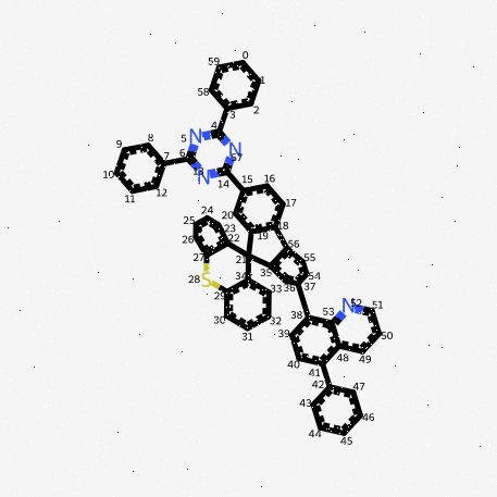 c1ccc(-c2nc(-c3ccccc3)nc(-c3ccc4c(c3)C3(c5ccccc5Sc5ccccc53)c3cc(-c5ccc(-c6ccccc6)c6cccnc56)ccc3-4)n2)cc1